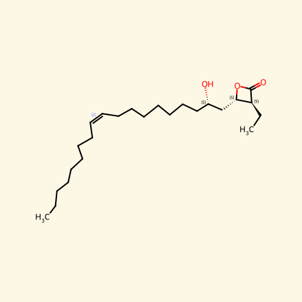 CCCCCCCC/C=C\CCCCCCC[C@H](O)C[C@@H]1OC(=O)[C@H]1CC